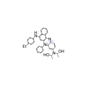 CCc1ccc(Nc2cc(C)c(/N=C3/C=CC(N(C(C)O)C(C)O)=C/C3=N\c3ccccc3)c3ccccc23)cc1